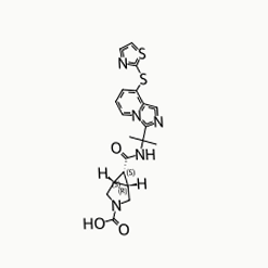 CC(C)(NC(=O)[C@@H]1[C@@H]2CN(C(=O)O)C[C@@H]21)c1ncc2c(Sc3nccs3)cccn12